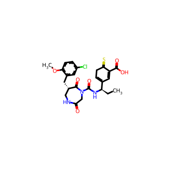 CC[C@@H](NC(=O)N1CC(=O)NC[C@H](Cc2cc(Cl)ccc2OC)C1=O)C1=CCC(=S)C(C(=O)O)=C1